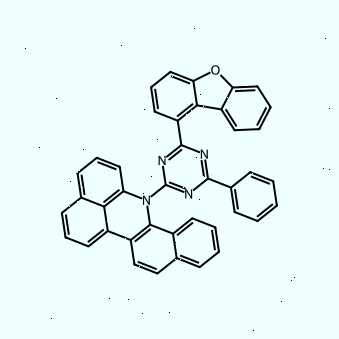 c1ccc(-c2nc(-c3cccc4oc5ccccc5c34)nc(N3c4c(ccc5ccccc45)-c4cccc5cccc3c45)n2)cc1